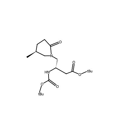 C[C@H]1CCC(=O)N(C[C@H](CC(=O)OC(C)(C)C)NC(=O)OC(C)(C)C)C1